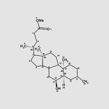 COC(=O)CC[C@@H](C)C1CCC2C3C[C@H](O)[C@@H]4CC(C)CC[C@]4(C)C3CC[C@@]21C